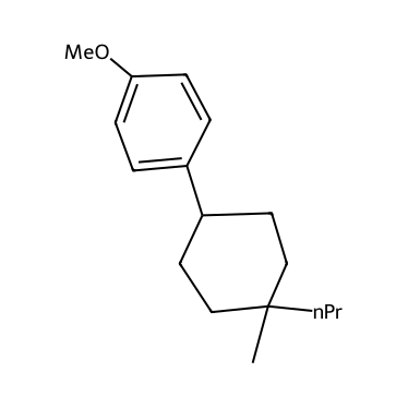 CCCC1(C)CCC(c2ccc(OC)cc2)CC1